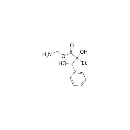 CCC(O)(C(=O)OCN)C(O)c1ccccc1